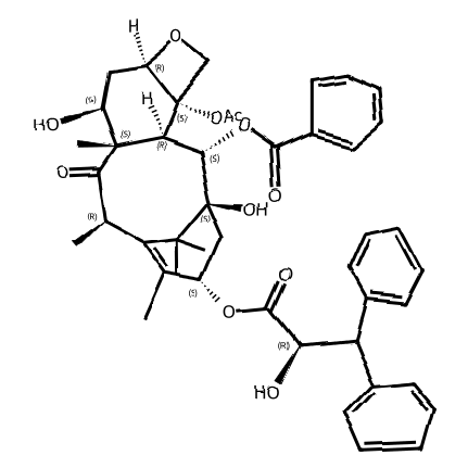 CC(=O)O[C@@]12CO[C@@H]1C[C@H](O)[C@@]1(C)C(=O)[C@H](C)C3=C(C)[C@@H](OC(=O)[C@H](O)C(c4ccccc4)c4ccccc4)C[C@@](O)([C@@H](OC(=O)c4ccccc4)[C@H]21)C3(C)C